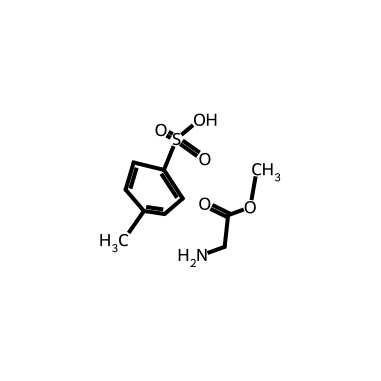 COC(=O)CN.Cc1ccc(S(=O)(=O)O)cc1